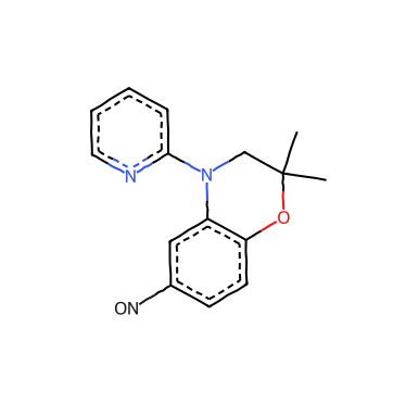 CC1(C)CN(c2ccccn2)c2cc(N=O)ccc2O1